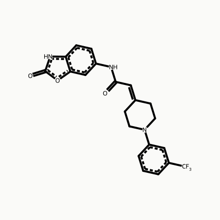 O=C(C=C1CCN(c2cccc(C(F)(F)F)c2)CC1)Nc1ccc2[nH]c(=O)oc2c1